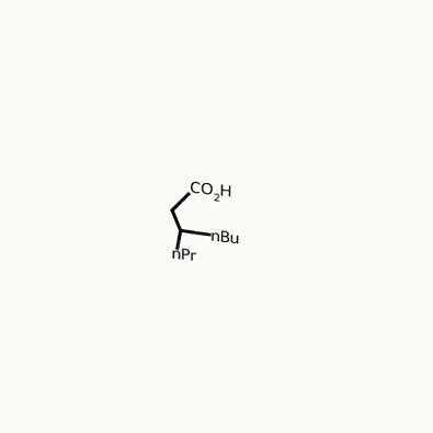 [CH2]CCC(CCCC)CC(=O)O